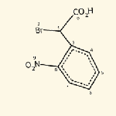 O=C(O)C(Br)c1ccccc1[N+](=O)[O-]